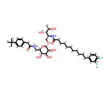 C[C@@H](O)[C@@H](O)[C@H](CO[C@H]1OC(CNC(=O)Cc2ccc(C(C)(C)C)cc2)[C@H](O)C(O)C1O)NC(=O)CCCCCCCCCCc1ccc(F)c(F)c1